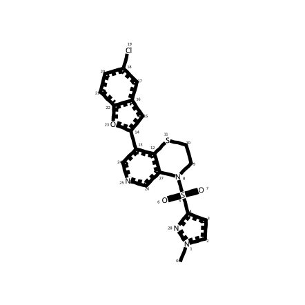 Cn1ccc(S(=O)(=O)N2CCSc3c(-c4cc5cc(Cl)ccc5o4)cncc32)n1